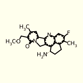 COCc1c(C)cc2n(c1=O)Cc1c-2nc2cc(F)c(C)c3c2c1[C@@H](N)CC3